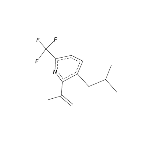 C=C(C)c1nc(C(F)(F)F)ccc1CC(C)C